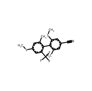 CSc1[c]c(C)c(-c2c(C)cc(C#N)cc2SC)c(C(F)(F)F)c1